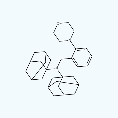 c1ccc(N2CCOCC2)c(CP(C23CC4CC(CC(C4)C2)C3)C23CC4CC(CC(C4)C2)C3)c1